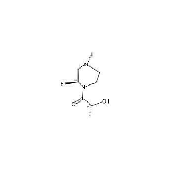 CC[C@H]1CN(I)CCN1C(=O)[C@@H](C)O